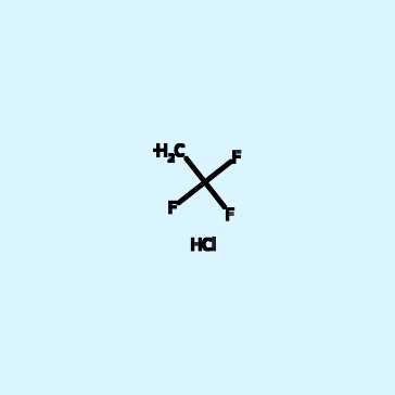 Cl.[CH2]C(F)(F)F